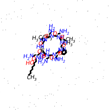 CCCCCCC[C@@H](O)CC(=O)N[C@H](CCN)C(=O)N[C@H]1CCNC(=O)[C@H](CC(C)C)NC(=O)[C@H](CCN)NC(=O)[C@H](CCN)NC(=O)[C@H](CC(C)C)NC(=O)[C@@H](Cc2ccccc2)NC(=O)[C@H](CCN)NC(=O)[C@@H](CCN)NC1=O